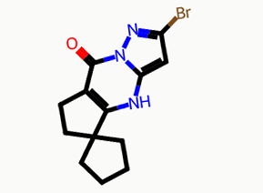 O=c1c2c([nH]c3cc(Br)nn13)C1(CCCC1)CC2